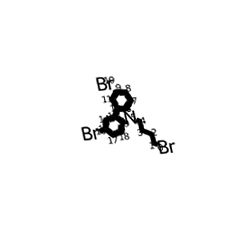 BrCCCCn1c2ccc(Br)cc2c2cc(Br)ccc21